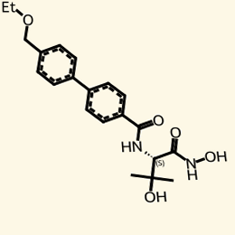 CCOCc1ccc(-c2ccc(C(=O)N[C@H](C(=O)NO)C(C)(C)O)cc2)cc1